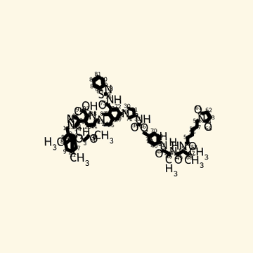 COCCOC12CC3(C)CC(C)(CC(Cn4ncc(-c5ccc(N6CCc7cc(N8CC[C@@H](NC(=O)OCc9ccc(NC(=O)[C@H](C)NC(=O)[C@@H](NC(=O)CCCCCN%10C(=O)C=CC%10=O)C(C)C)cc9)C8)cc(C(=O)Nc8nc9ccccc9s8)c7C6)nc5C(=O)O)c4C)(C3)C1)C2